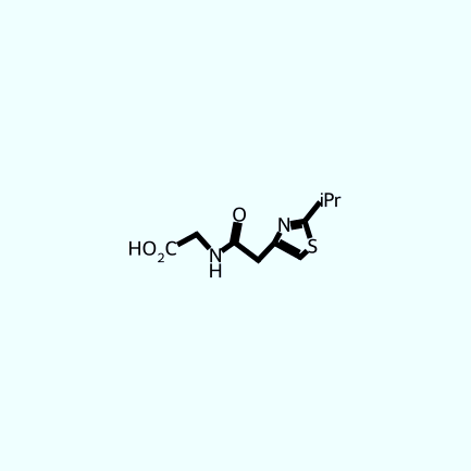 CC(C)c1nc(CC(=O)NCC(=O)O)cs1